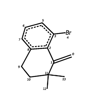 C=C1c2c(Br)cccc2CCC1(C)C